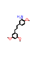 COc1cc(CC=Cc2ccc(OC)c(N)c2)cc(OC)c1